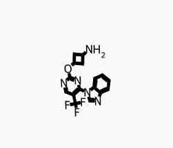 NC1CC(Oc2ncc(C(F)(F)F)c(-n3cnc4ccccc43)n2)C1